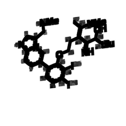 CNCc1cnc2ccc(-c3ccc(F)c(F)c3OCC/C(C(=N)C(O)C(C)(C)C)=C(\C)NC)cn12